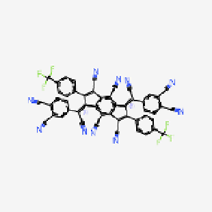 N#CC1=C(c2ccc(C(F)(F)F)cc2)/C(=C(/C#N)c2ccc(C#N)c(C#N)c2)c2c(C#N)c3c(c(C#N)c21)/C(=C(\C#N)c1ccc(C#N)c(C#N)c1)C(c1ccc(C(F)(F)F)cc1)=C3C#N